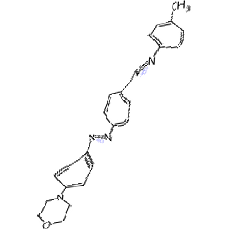 Cc1ccc(/N=N/c2ccc(/N=N/c3ccc(N4CCOCC4)cc3)cc2)cc1